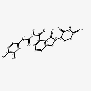 CN(C(=O)Nc1ccc(Cl)c(Cl)c1)C(=O)c1cccc2c1C(=O)N(C1CCC(=O)NC1=O)C2